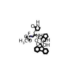 CS(=O)(=O)/C(F)=C/[C@@H](C[C@H]1CCNC1=O)NC(=O)[C@@H]1[C@@H]2CCC[C@@H]2CN1C(=O)C1(O)c2ccccc2-c2ccccc21